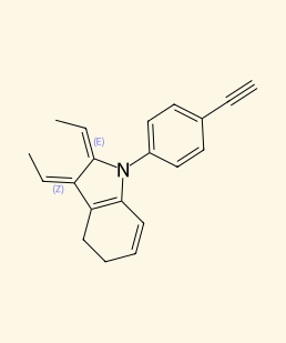 C#Cc1ccc(-n2c3c(c(=C/C)/c2=C\C)CCC=C3)cc1